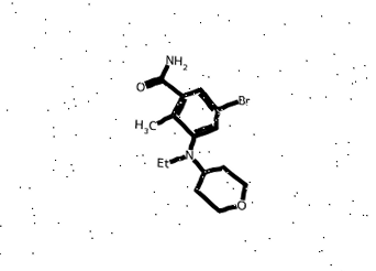 CCN(c1cc(Br)cc(C(N)=O)c1C)C1CCOCC1